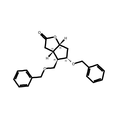 O=C1C[C@H]2[C@H](COCc3ccccc3)[C@@H](OCc3ccccc3)C[C@H]2O1